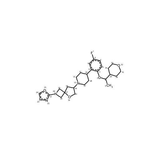 CC(Oc1ccc(F)cc1C1CCN(C2COC3(C2)CN(c2nnco2)C3)CC1)C1CCOCC1